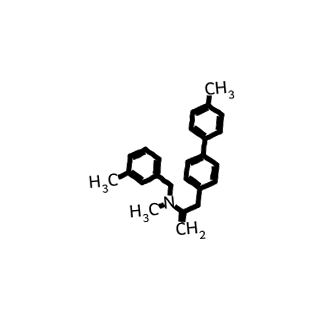 C=C(Cc1ccc(-c2ccc(C)cc2)cc1)N(C)Cc1cccc(C)c1